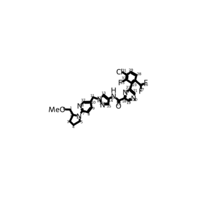 COCC1CCCN1c1ccc(Cn2cc(NC(=O)c3cncc(-c4c(C(F)F)ccc(Cl)c4F)n3)cn2)cn1